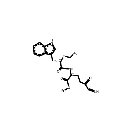 CC(=O)CO[C@@H](Cc1c[nH]c2ccccc12)C(=O)N[C@@H](CCC(=O)C=N)C(=O)OC(C)C